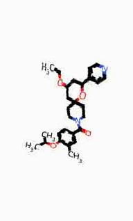 CCOC1CC(c2ccncc2)OC2(CCN(C(=O)c3ccc(OC(C)C)c(C)c3)CC2)C1